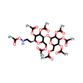 CC(C)C(=O)OCC1O[C@@H](CCNOC(=O)C(C)C)C(OC(=O)C(C)C)C(OC(=O)C(C)C)[C@@H]1O[C@@H]1OC(COC(=O)C(C)C)[C@H](OC(=O)C(C)C)C(OC(=O)C(C)C)C1OC(=O)C(C)C